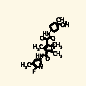 Cc1cc(NC(=O)c2c(C)c(C(=O)C(=O)N[C@H]3CC[C@](C)(O)CC3)n(C)c2C)cnc1F